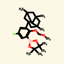 COCOc1c(B2OC(C)(C)C(C)(C)O2)cc(F)cc1C12CC3(C)CC(C)(CC(C)(C3)C1)C2